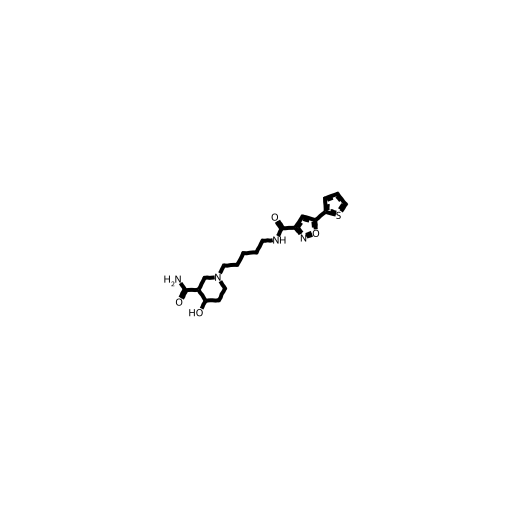 NC(=O)C1CN(CCCCCNC(=O)c2cc(-c3cccs3)on2)CCC1O